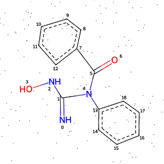 N=C(NO)N(C(=O)c1ccccc1)c1ccccc1